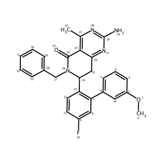 COc1cccc(-c2cc(F)ccc2C2Cc3nc(N)nc(C)c3C(=O)N2Cc2ccccc2)c1